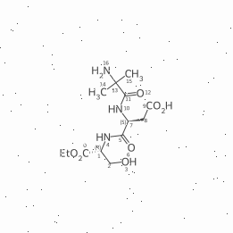 CCOC(=O)[C@@H](CO)NC(=O)[C@H](CC(=O)O)NC(=O)C(C)(C)N